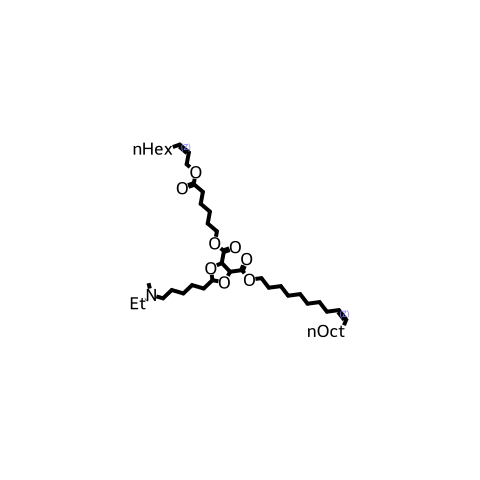 CCCCCC/C=C\COC(=O)CCCCCOC(=O)C1OC(CCCCCN(C)CC)OC1C(=O)OCCCCCCCC/C=C\CCCCCCCC